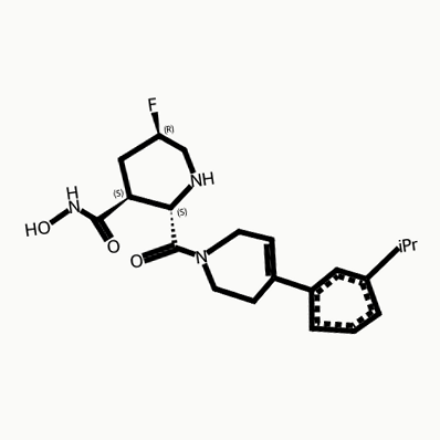 CC(C)c1cccc(C2=CCN(C(=O)[C@H]3NC[C@H](F)C[C@@H]3C(=O)NO)CC2)c1